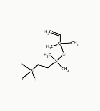 C=C[Si](C)(C)O[Si](C)(C)CC[Si](I)(I)I